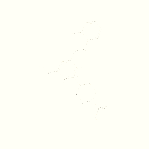 CNc1nc(NCc2ccccc2Cl)nc(N2CCN(C(=O)CCl)CC2)n1